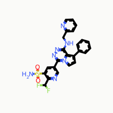 NS(=O)(=O)c1cc(-c2nnc(NCc3ccccn3)c3c(-c4ccccc4)ccn23)cnc1C(F)F